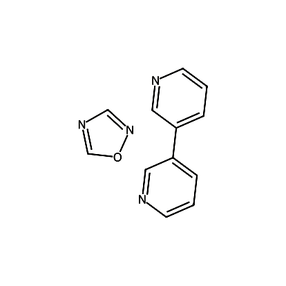 c1cncc(-c2cccnc2)c1.c1ncon1